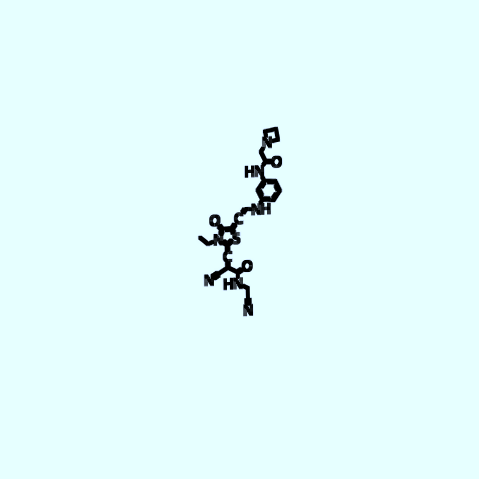 CCn1c(=C=C(C#N)C(=O)NCC#N)sc(=C=CNc2cccc(NC(=O)CN3CCC3)c2)c1=O